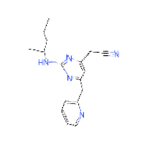 CCCC(C)Nc1nc(CC#N)cc(Cc2ccccn2)n1